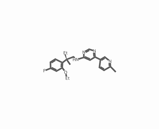 CCOc1cc(F)ccc1[C@](C)(CC)CNc1cc(-c2ccc(C)nc2)ncn1